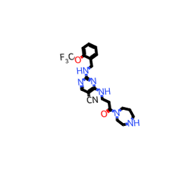 N#Cc1cnc(NCc2ccccc2OC(F)(F)F)nc1NCCC(=O)N1CCCNCC1